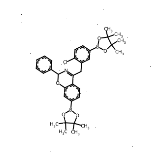 CC1(C)OB(c2ccc(Cl)c(CC3=NC(c4ccccc4)Oc4cc(B5OC(C)(C)C(C)(C)O5)ccc43)c2)OC1(C)C